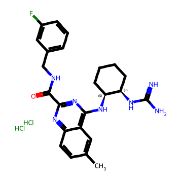 Cc1ccc2nc(C(=O)NCc3cccc(F)c3)nc(N[C@H]3CCCC[C@H]3NC(=N)N)c2c1.Cl.Cl